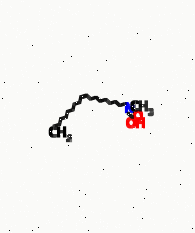 C=CCCCCCCC/C=C\CCCCCCCCN(C)CC(=O)O